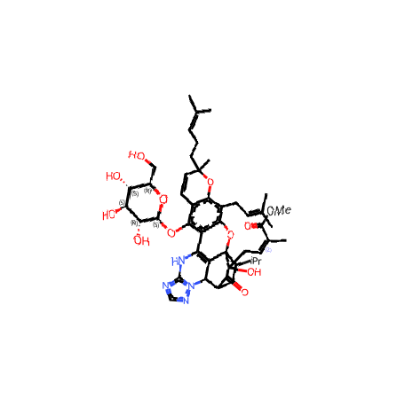 COC(=O)/C(C)=C\CC1(O)C(=O)C2CC(C(C)C)C13Oc1c(CC=C(C)C)c4c(c(O[C@@H]5O[C@H](CO)[C@@H](O)[C@H](O)[C@H]5O)c1C1=C3C2n2ncnc2N1)C=CC(C)(CCC=C(C)C)O4